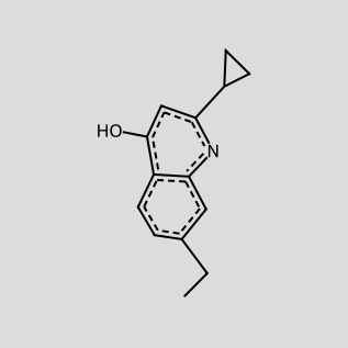 CCc1ccc2c(O)cc(C3CC3)nc2c1